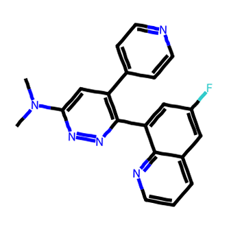 CN(C)c1cc(-c2ccncc2)c(-c2cc(F)cc3cccnc23)nn1